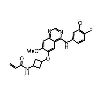 C=CC(=O)NC1CC(Oc2cc3c(Nc4ccc(F)c(Cl)c4)ncnc3cc2OC)C1